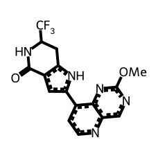 COc1ncc2nccc(-c3cc4c([nH]3)CC(C(F)(F)F)NC4=O)c2n1